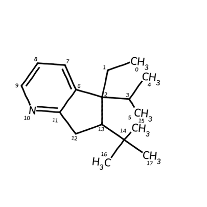 CCC1(C(C)C)c2cccnc2CC1C(C)(C)C